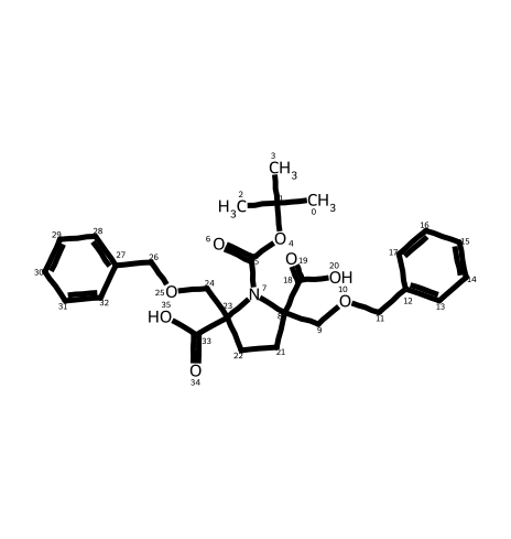 CC(C)(C)OC(=O)N1C(COCc2ccccc2)(C(=O)O)CCC1(COCc1ccccc1)C(=O)O